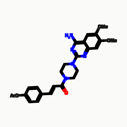 COc1cc2nc(N3CCN(C(=O)/C=C/c4ccc(OC(C)=O)cc4)CC3)nc(N)c2cc1OC